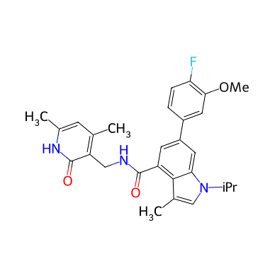 COc1cc(-c2cc(C(=O)NCc3c(C)cc(C)[nH]c3=O)c3c(C)cn(C(C)C)c3c2)ccc1F